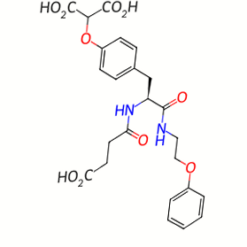 O=C(O)CCC(=O)N[C@@H](Cc1ccc(OC(C(=O)O)C(=O)O)cc1)C(=O)NCCOc1ccccc1